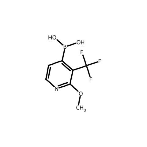 COc1nccc(B(O)O)c1C(F)(F)F